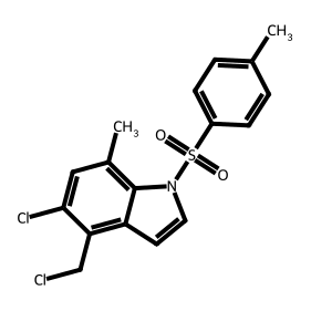 Cc1ccc(S(=O)(=O)n2ccc3c(CCl)c(Cl)cc(C)c32)cc1